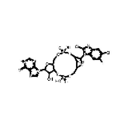 O=c1[nH]cnc2c1ncn2C1OC2COP(=O)(O)OC3C(O)C(COP(=O)(O)OC2C1O)OC3n1c(Cl)nc2cc(Cl)c(Cl)cc21